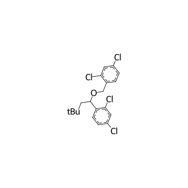 CC(C)(C)CC(OCc1ccc(Cl)cc1Cl)c1ccc(Cl)cc1Cl